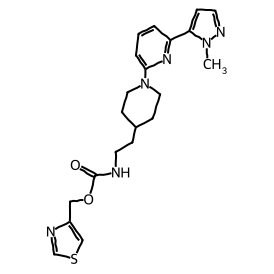 Cn1nccc1-c1cccc(N2CCC(CCNC(=O)OCc3cscn3)CC2)n1